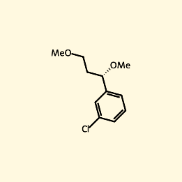 COCC[C@H](OC)c1cccc(Cl)c1